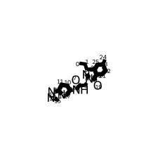 CCc1nn(CC(=O)Nc2ccc3nncn3c2)c(=O)c2ccc(C)cc12